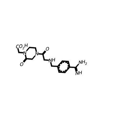 N=C(N)c1ccc(CNCC(=O)N2CCN(CC(=O)O)C(=O)C2)cc1